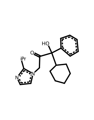 CC(C)c1nccn1CC(=O)C(O)(c1ccccc1)C1CCCCC1